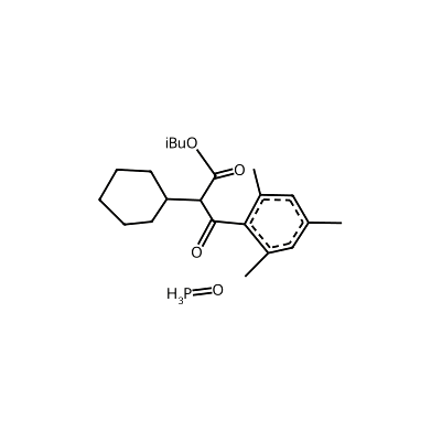 Cc1cc(C)c(C(=O)C(C(=O)OCC(C)C)C2CCCCC2)c(C)c1.O=[PH3]